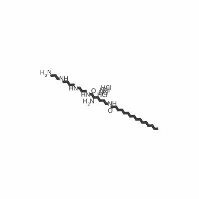 CCCCCCCCCCCCCCCC(=O)NCCCC[C@@H](N)C(=O)NCCCNCCCCNCCCN.Cl.Cl.Cl.Cl